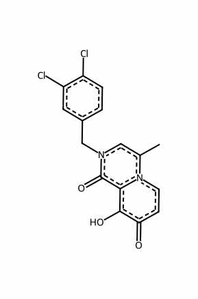 Cc1cn(Cc2ccc(Cl)c(Cl)c2)c(=O)c2c(O)c(=O)ccn12